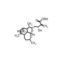 C=C(C(=O)OC)[C@H](O)C[C@H]1O[C@@H]2O[C@@H](C)CC[C@H]3[C@H](C)CC[C@@H]([C@H]1C)[C@@]23OOC